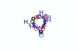 CCC(C)[C@@H]1NCCOc2ccccc2C(C)CCNC(=O)[C@@H](Cc2cccc(Cl)c2)NC(=O)CCCCNC1=O